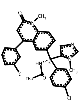 Cn1cncc1[C@@](NC(=O)C(C)(C)C)(c1ccc(Cl)cc1)c1ccc2c(c1)c(-c1cccc(Cl)c1)cc(=O)n2C